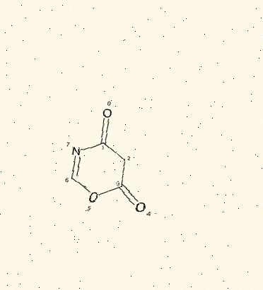 O=C1CC(=O)OC=N1